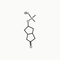 CC(C)(C)[Si](C)(C)OC1CC2CC(=O)CC2C1